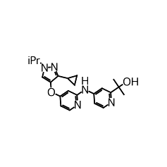 CC(C)n1cc(Oc2ccnc(Nc3ccnc(C(C)(C)O)c3)c2)c(C2CC2)n1